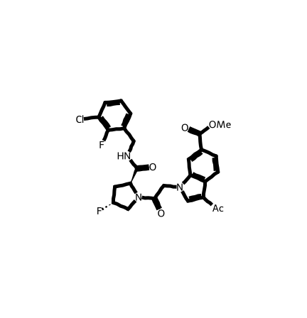 COC(=O)c1ccc2c(C(C)=O)cn(CC(=O)N3C[C@H](F)C[C@H]3C(=O)NCc3cccc(Cl)c3F)c2c1